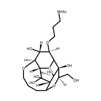 CC(=O)NCCCO[C@H]1C2O[C@H](CO)[C@@H](OCCCC3O[C@H](CO)[C@]2(O)[C@H](O)[C@H]3O)[C@@H]1O